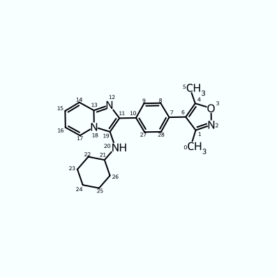 Cc1noc(C)c1-c1ccc(-c2nc3ccccn3c2NC2CCCCC2)cc1